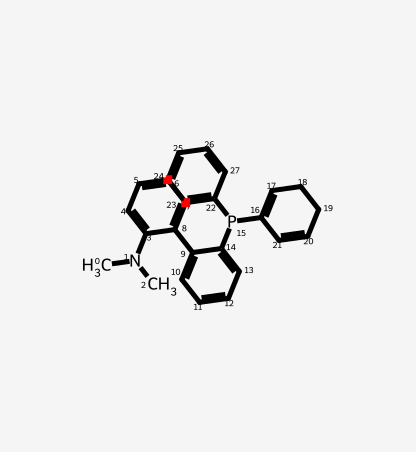 CN(C)c1ccccc1-c1ccccc1P(C1=CCCC=C1)c1ccccc1